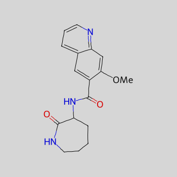 COc1cc2ncccc2cc1C(=O)NC1CCCCNC1=O